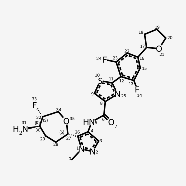 Cn1ncc(NC(=O)c2csc(-c3c(F)cc(C4CCCO4)cc3F)n2)c1[C@@H]1CC[C@@H](N)[C@H](F)CO1